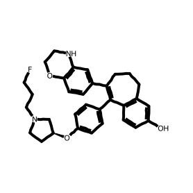 Oc1ccc2c(c1)CCCC(c1ccc3c(c1)NCCO3)=C2c1ccc(O[C@H]2CCN(CCCF)C2)cc1